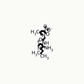 Cc1cc([N+](=O)[O-])c(=O)n(CC(=O)Nc2c(F)cnc(CC(C)C)c2N)c1